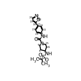 CC(C)S(=O)(=O)NC1CCN(C(=O)Nc2ccc(-c3ccno3)cc2)CC1